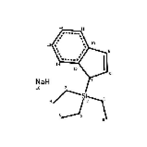 CC[Si](CC)(CC)C1C=Cc2ccccc21.[NaH]